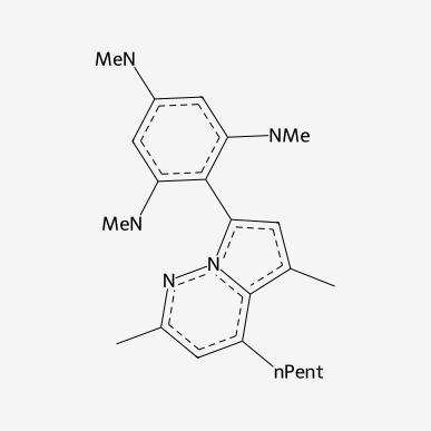 CC[CH]CCc1cc(C)nn2c(-c3c(NC)cc(NC)cc3NC)cc(C)c12